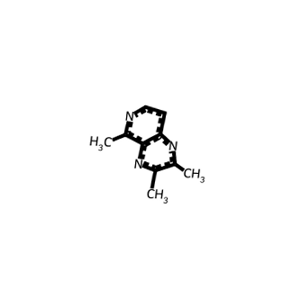 Cc1nc2ccnc(C)c2nc1C